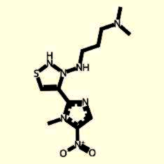 CN(C)CCCNN1NSC=C1c1ncc([N+](=O)[O-])n1C